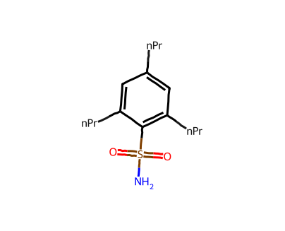 CCCc1cc(CCC)c(S(N)(=O)=O)c(CCC)c1